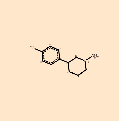 NN1CCCC(c2ccc(F)cc2)C1